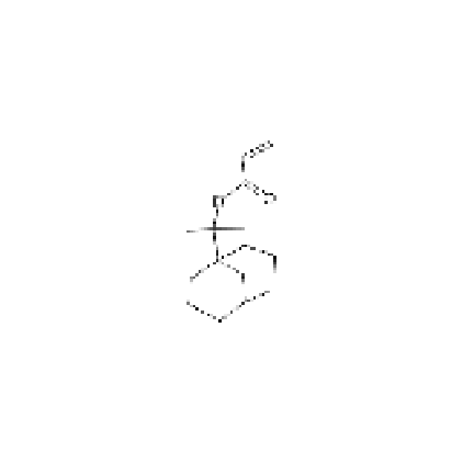 C=CC(=O)OC(C)(C)C12CCCC(CCC1)C2